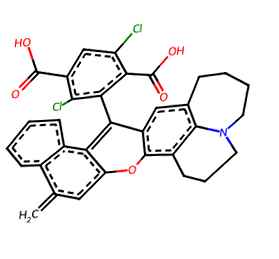 C=c1cc2c(c3ccccc13)=C(c1c(Cl)c(C(=O)O)cc(Cl)c1C(=O)O)c1cc3c4c(c1O2)CCCN4CCCC3